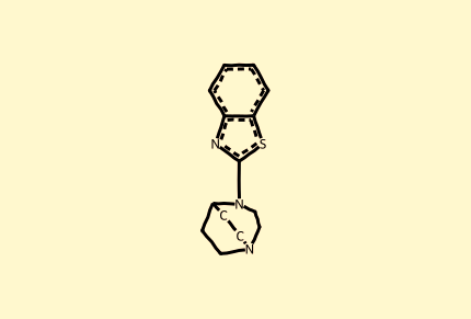 c1ccc2sc(N3CCN4CCC3CC4)nc2c1